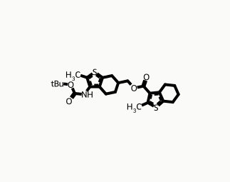 Cc1sc2c(c1NC(=O)OC(C)(C)C)CCC(COC(=O)c1c(C)sc3c1CCCC3)C2